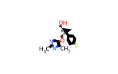 Cc1ncc(OC[C@@]2(c3ccc(F)cc3)C[C@H]2CO)c(C)n1